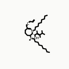 C=CC=C=C/C1=C/N(CCCCCCCCC)[C@H](C(O)/C(C)=C(\C)C(C)C)C(N(C)CCCCCCCCC)CCC1